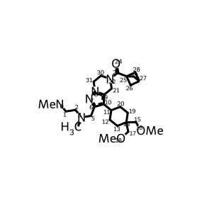 CNCCN(C)Cc1nn2c(c1C1CCC(COC)(COC)CC1)CN(C(=O)C13CC(C1)C3)CC2